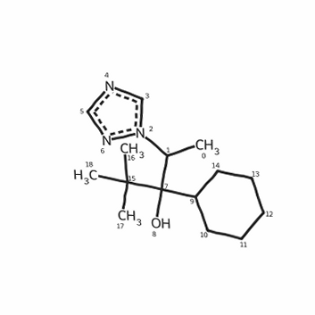 CC(n1cncn1)C(O)(C1CCCCC1)C(C)(C)C